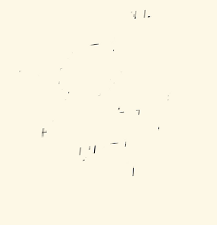 CC(C)(N)CO.Nc1ccc(F)c(Cl)c1